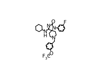 O=C1N=C(NC2CCCCC2)C2(CCN(Cc3cccc(OC(F)(F)F)c3)CC2)N1c1cccc(F)c1